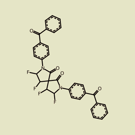 O=C(c1ccccc1)c1ccc(N2C(=O)C3(C(=O)N(c4ccc(C(=O)c5ccccc5)cc4)C(F)C3F)C(F)C2F)cc1